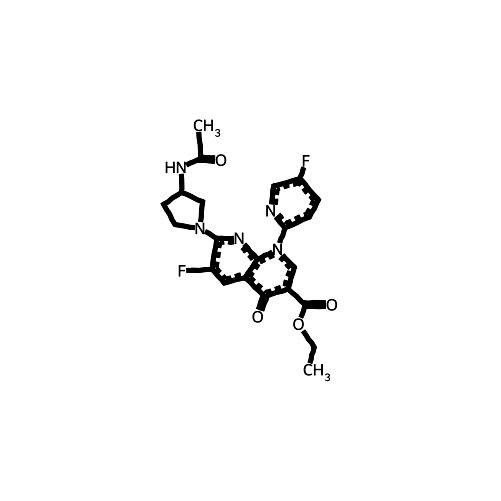 CCOC(=O)c1cn(-c2ccc(F)cn2)c2nc(N3CCC(NC(C)=O)C3)c(F)cc2c1=O